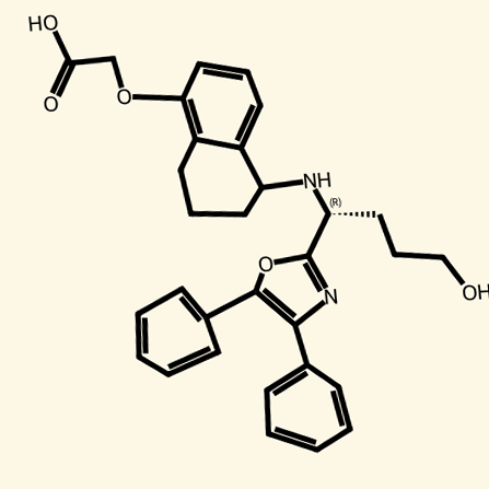 O=C(O)COc1cccc2c1CCCC2N[C@H](CCCO)c1nc(-c2ccccc2)c(-c2ccccc2)o1